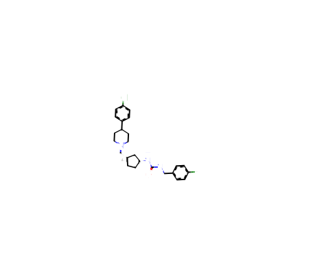 O=C(NCc1ccc(F)cc1)N[C@H]1CC[C@@H](CN2CCC(c3ccc(Cl)cc3)CC2)C1